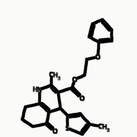 CC1=C(C(=O)OCCOc2ccccc2)C(c2cc(C)cs2)C2=C(CCCC2=O)N1